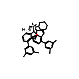 Cc1cc(C)cc(-c2cccc3c2C=C[CH]3[Hf]([CH3])([CH3])([CH3])(=[SiH2])([CH]2CCCCC2)[CH]2C=Cc3c(-c4cc(C)cc(C)c4)cccc32)c1